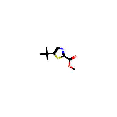 COC(=O)c1ncc(C(C)(C)C)s1